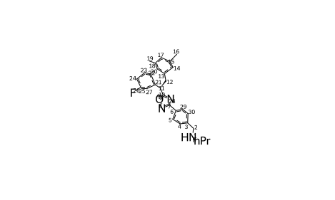 [CH2]CCNCc1ccc(-c2noc([C@H](Cc3cc(C)cc(C)c3)c3cccc(F)c3)n2)cc1